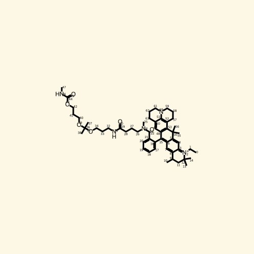 CC[N+]1=c2cc3c(cc2C(C)CC1(C)C)=C(c1ccccc1C(=O)N(C)CCCC(=O)NCCCOC(C)(C)OCCCOC(=O)NC)c1cc2c4c(c1C3(C)C)CCCN4CCC2